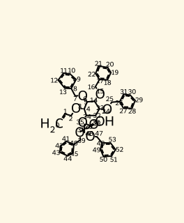 C=CCO[C@H]1[C@@H](OCc2ccccc2)[C@H](OCc2ccccc2)[C@@H](OCc2ccccc2)[C@H](O)[C@H]1OP(=O)(OCc1ccccc1)OCc1ccccc1